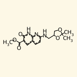 COC(=O)c1cc2ccc(NCC3COC(C)(C)O3)nc2[nH]c1=O